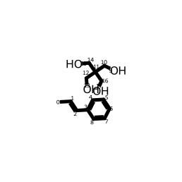 CC=Cc1ccccc1.OCC(CO)(CO)CO